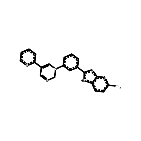 FC(F)(F)c1ccc2[nH]c(-c3cccc(N4C=C(c5ccccn5)C=NC4)c3)nc2n1